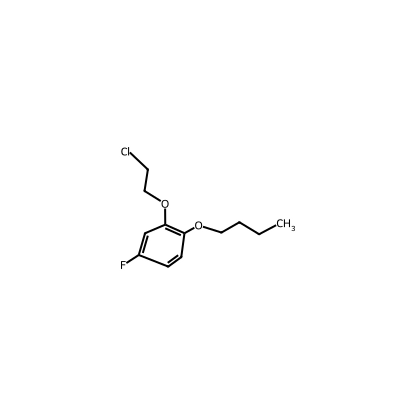 CCCCOc1ccc(F)cc1OCCCl